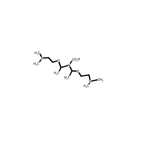 CC(OCCN(C)C)N(C(=O)O)C(C)OCCN(C)C